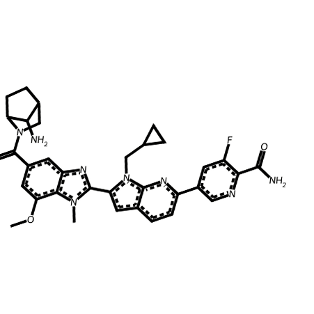 COc1cc(C(=O)N2CC3CCC2C3N)cc2nc(-c3cc4ccc(-c5cnc(C(N)=O)c(F)c5)nc4n3CC3CC3)n(C)c12